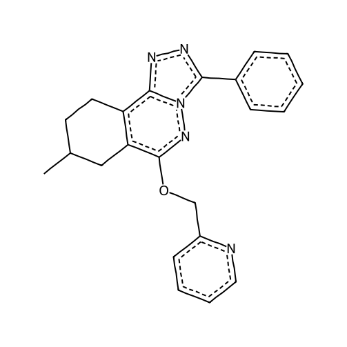 CC1CCc2c(c(OCc3ccccn3)nn3c(-c4ccccc4)nnc23)C1